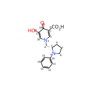 O=C(O)c1cn(C[C@@H]2CCCN2c2ccccc2)cc(O)c1=O